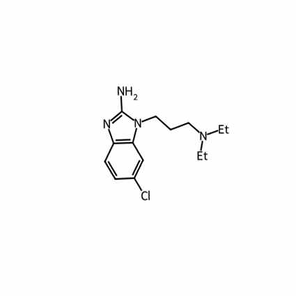 CCN(CC)CCCn1c(N)nc2ccc(Cl)cc21